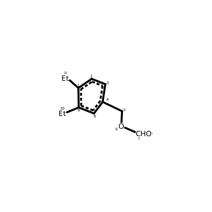 CCc1ccc(CO[C]=O)cc1CC